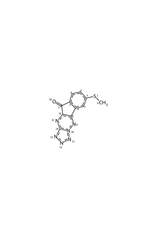 CSc1ccc2c(c1)-c1nn3nnnc3nc1C2=O